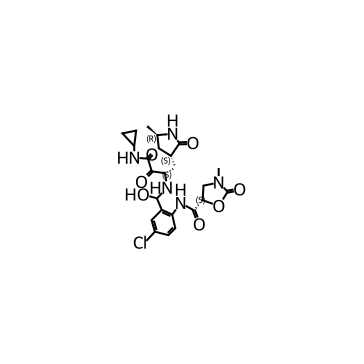 C[C@@H]1C[C@@H](C[C@H](NC(O)c2cc(Cl)ccc2NC(=O)[C@@H]2CN(C)C(=O)O2)C(=O)C(=O)NC2CC2)C(=O)N1